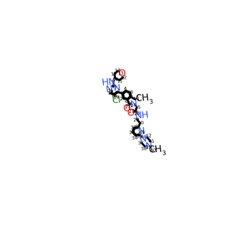 C[C@@H]1c2ccc(-c3nc(NC4CCOCC4)ncc3Cl)cc2C(=O)N1CC(=O)NCCc1cccc(N2CCN(C)CC2)n1